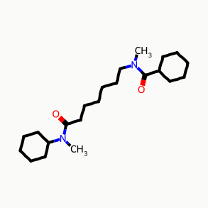 CN(CCCCCCC(=O)N(C)C1CCCCC1)C(=O)C1CCCCC1